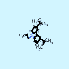 C=CCn1c2ccc(C(C)C)cc2c2cc(C(C)C)ccc21